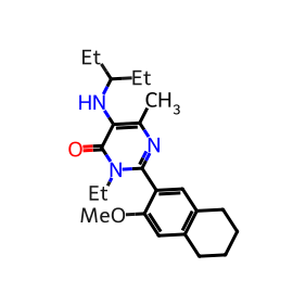 CCC(CC)Nc1c(C)nc(-c2cc3c(cc2OC)CCCC3)n(CC)c1=O